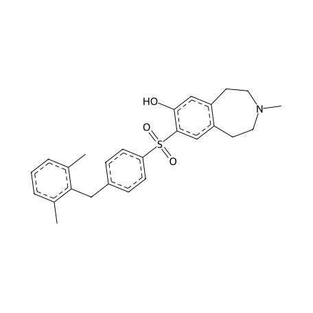 Cc1cccc(C)c1Cc1ccc(S(=O)(=O)c2cc3c(cc2O)CCN(C)CC3)cc1